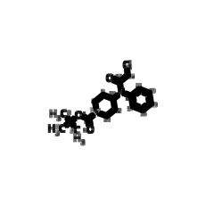 CC(C)(C)OC(=O)N1CCC(N(C(=O)CCl)c2ccccc2)CC1